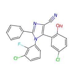 N#Cc1nc(-c2ccccc2)n(-c2cccc(Cl)c2F)c1-c1cc(Cl)ccc1O